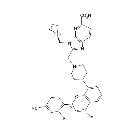 N#Cc1ccc([C@@H]2C=C(F)c3cccc(C4CCN(Cc5nc6ccc(C(=O)O)nc6n5C[C@@H]5CCO5)CC4)c3O2)c(F)c1